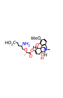 COc1ccc2c3c1O[C@H]1C(OC(=O)[C@H](C)OC[C@@H](N)CCC(=O)O)=CC[C@@]4(O)[C@@H](C2)N(C)CC[C@]314